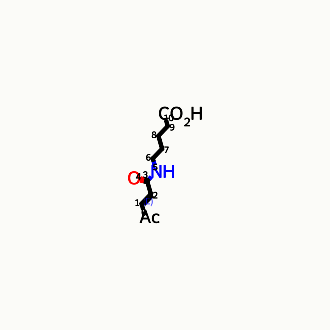 CC(=O)/C=C/C(=O)NCCCCC(=O)O